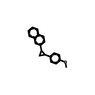 COc1ccc(C2CC2c2ccc3ccccc3c2)cc1